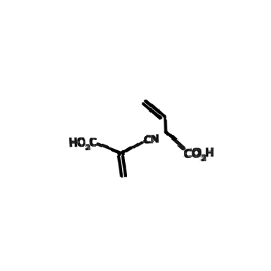 C=C(C#N)C(=O)O.C=CCC(=O)O